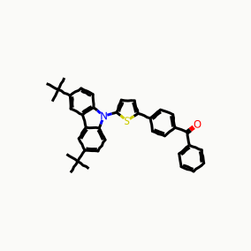 CC(C)(C)c1ccc2c(c1)c1cc(C(C)(C)C)ccc1n2-c1ccc(-c2ccc(C(=O)c3ccccc3)cc2)s1